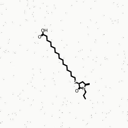 C=C1CC(SCCCCCCCCCCCCCCCC(=O)O)C(=O)N1CCC